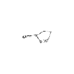 O=C1C#CCC1